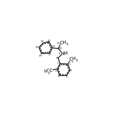 Cc1cccc(C)c1CNC(C)c1ccccc1